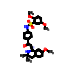 COc1ccc2c(c1)/C(=C/C(=O)c1ccc(NS(=O)(=O)c3cc(OC)ccc3OC)cc1)NC(C)(C)C2